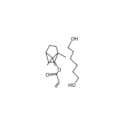 C=CC(=O)OC1CC2CCC1(C)C2(C)C.OCCCCCCO